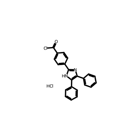 Cl.O=C(Cl)c1ccc(-c2nc(-c3ccccc3)c(-c3ccccc3)[nH]2)cc1